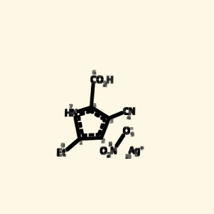 CCc1cc(C#N)c(C(=O)O)[nH]1.O=[N+]([O-])[O-].[Ag+]